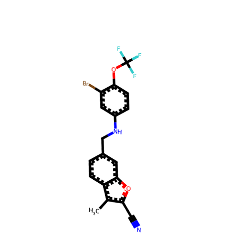 Cc1c(C#N)oc2cc(CNc3ccc(OC(F)(F)F)c(Br)c3)ccc12